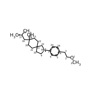 COCCc1ccc(N2CCC3(CCC(O)(CC(C)C)CC3)C2)cc1